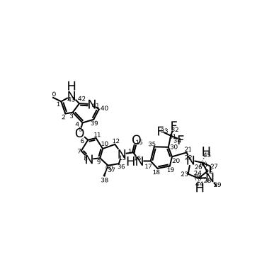 Cc1cc2c(Oc3cnc4c(c3)CN(C(=O)Nc3ccc(CN5C[C@H]6C[C@@H]5CN6C)c(C(F)(F)F)c3)C[C@H]4C)ccnc2[nH]1